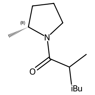 CCC(C)C(C)C(=O)N1CCC[C@H]1C